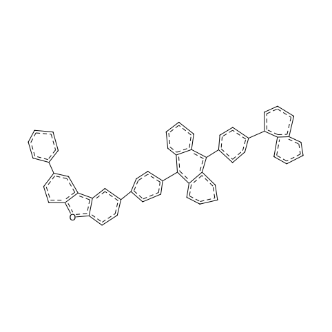 c1ccc(-c2ccc3oc4ccc(-c5ccc(-c6c7ccccc7c(-c7ccc(-c8cccc9ccccc89)cc7)c7ccccc67)cc5)cc4c3c2)cc1